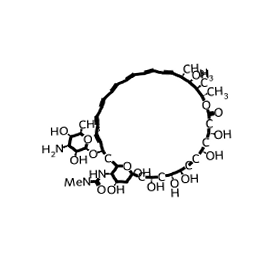 CNC(=O)N[C@H]1C2C[C@@H](O[C@@H]3O[C@H](C)[C@@H](O)[C@H](N)[C@@H]3O)/C=C/C=C/C=C/C=C/C=C/C=C/C=C/[C@H](C)[C@@H](O)[C@@H](C)[C@H](C)OC(=O)C[C@H](O)C[C@H](O)CC[C@@H](O)[C@H](O)C[C@H](O)C[C@](O)(C[C@@H]1O)O2